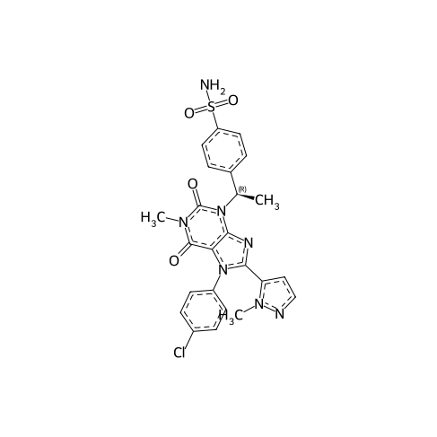 C[C@H](c1ccc(S(N)(=O)=O)cc1)n1c(=O)n(C)c(=O)c2c1nc(-c1ccnn1C)n2-c1ccc(Cl)cc1